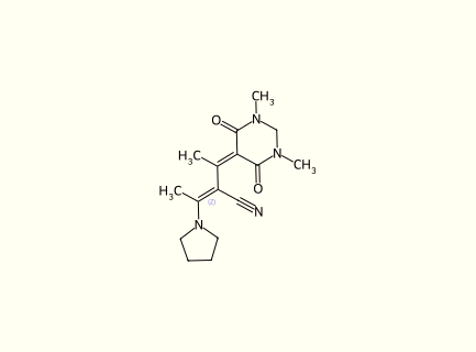 CC(=C1C(=O)N(C)CN(C)C1=O)/C(C#N)=C(\C)N1CCCC1